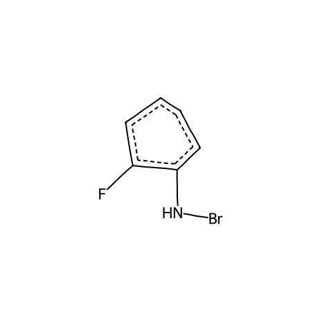 Fc1ccccc1NBr